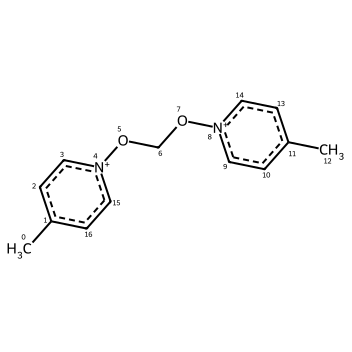 Cc1cc[n+](OCO[n+]2ccc(C)cc2)cc1